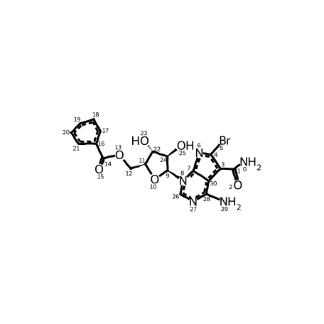 NC(=O)c1c(Br)nc2n([C@H]3O[C@@H](COC(=O)c4ccccc4)[C@H](O)[C@H]3O)cnc(N)c1-2